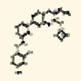 C/N=C(/Cc1ccc(-c2cccc(OCc3ccc(C#N)cc3F)n2)cc1F)NC[C@H]1CCN1